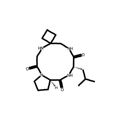 CC(C)C[C@@H]1NC(=O)[C@H]2CCCN2C(=O)CNC2(CCC2)CNC1=O